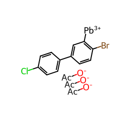 CC(=O)[O-].CC(=O)[O-].CC(=O)[O-].Clc1ccc(-c2ccc(Br)[c]([Pb+3])c2)cc1